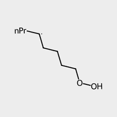 CCC[CH]CCCCOO